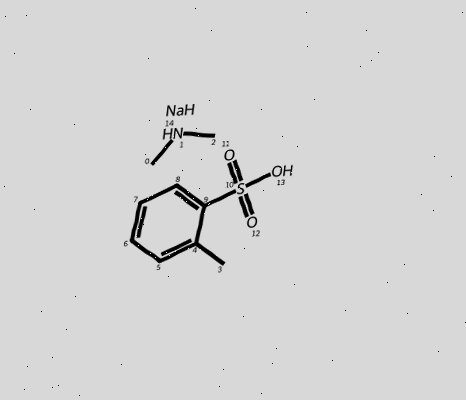 CNC.Cc1ccccc1S(=O)(=O)O.[NaH]